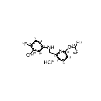 Cl.Fc1ccc(NCc2cccc(OC(F)F)n2)cc1Cl